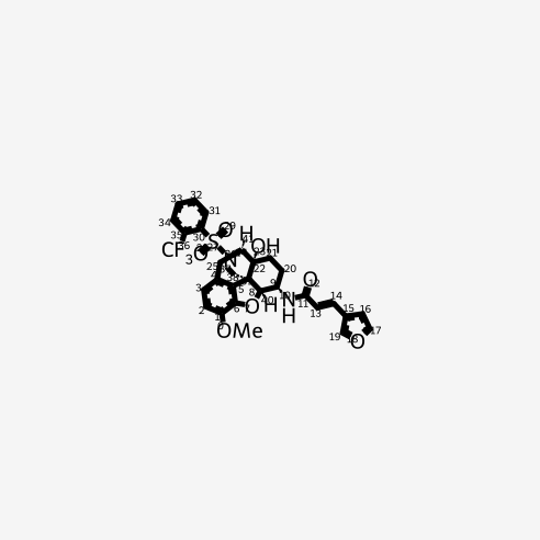 COc1ccc2c3c1O[C@@H]1[C@@H](NC(=O)/C=C/c4ccoc4)CC[C@]4(O)[C@H](C2)N(S(=O)(=O)c2ccccc2C(F)(F)F)CC[C@@]314